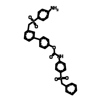 Nc1ccc(S(=O)(=O)Cc2cccc(-c3ccc(OC(=O)Nc4ccc(S(=O)(=O)Cc5ccccc5)cc4)cc3)c2)cc1